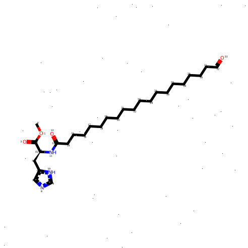 COC(=O)[C@H](Cc1cnc[nH]1)NC(=O)CCCCCCCCCCCCCCCCCCC=O